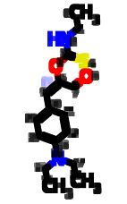 CCNC(=S)O/C(C=O)=C/c1ccc(N(CC)CC)cc1